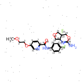 COCCOc1ccc(C(=O)Nc2ccc(F)c([C@]34COC[C@@]3(F)COC(N)=N4)c2)nc1